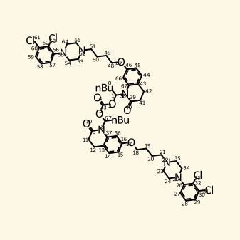 CCCCC(OC(=O)OC(CCCC)N1C(=O)CCc2ccc(OCCCCN3CCN(c4cccc(Cl)c4Cl)CC3)cc21)N1C(=O)CCc2ccc(OCCCCN3CCN(c4cccc(Cl)c4Cl)CC3)cc21